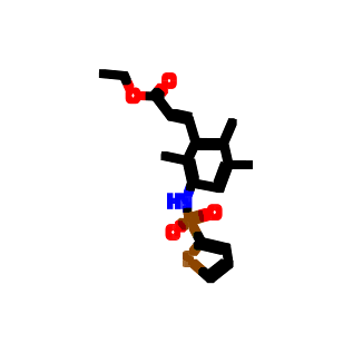 CCOC(=O)/C=C/c1c(C)c(C)cc(NS(=O)(=O)c2cccs2)c1C